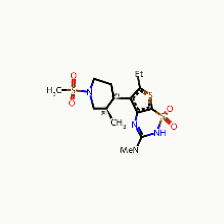 CCc1sc2c(c1[C@@H]1CCN(S(C)(=O)=O)C[C@@H]1C)N=C(NC)NS2(=O)=O